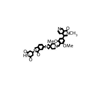 COc1cc(-c2cn(C)c(=O)c3cnccc23)cc(OC)c1CN1CCC2(CC1)CN(c1ccc3c(c1)C(=O)N(C1CC(=O)NC(=O)C1)C3)C2